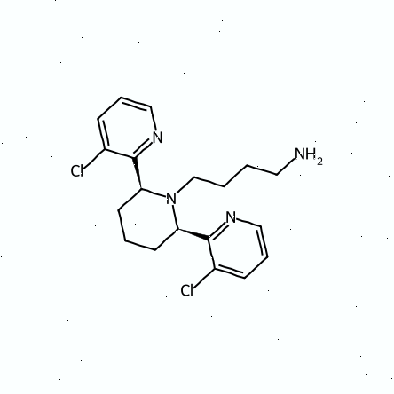 NCCCCN1[C@@H](c2ncccc2Cl)CCC[C@H]1c1ncccc1Cl